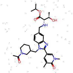 CC(=O)N1CCCC(Cn2c(-c3cc(C)c(=O)n(C)c3)nc3cc(CN[C@H](C(=O)OC(C)C)[C@@H](C)O)ccc32)C1